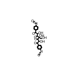 O=C=Nc1ccc(C(=O)C(O)C(=O)C(O)(CO)C(=O)C(O)C(=O)c2ccc(N=C=O)cc2)cc1